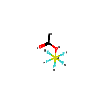 CC(=O)OS(F)(F)(F)(F)F